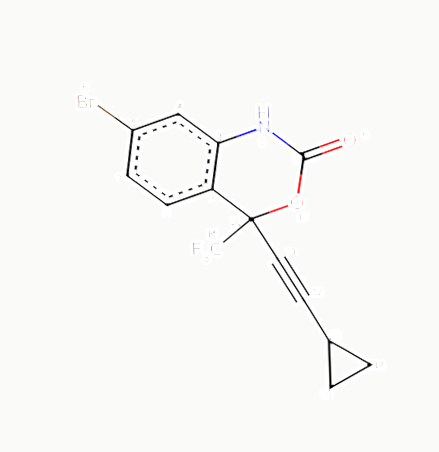 O=C1Nc2cc(Br)ccc2C(C#CC2CC2)(C(F)(F)F)O1